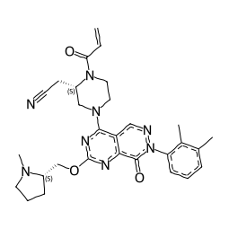 C=CC(=O)N1CCN(c2nc(OC[C@@H]3CCCN3C)nc3c(=O)n(-c4cccc(C)c4C)ncc23)C[C@@H]1CC#N